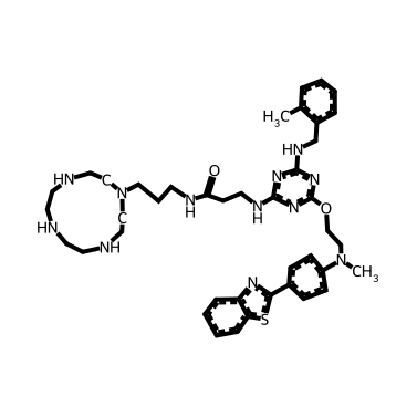 Cc1ccccc1CNc1nc(NCCC(=O)NCCCN2CCNCCNCCNCC2)nc(OCCN(C)c2ccc(-c3nc4ccccc4s3)cc2)n1